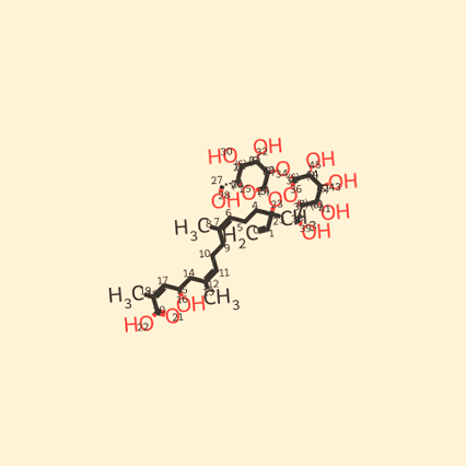 C=CC(C)(CCC=C(C)CCC=C(C)CC(O)C=C(C)C(=O)O)O[C@@H]1O[C@H](CO)[C@@H](O)[C@H](O)[C@H]1O[C@@H]1O[C@H](CO)[C@@H](O)[C@H](O)[C@H]1O